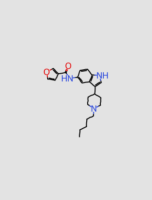 CCCCCN1CCC(c2c[nH]c3ccc(NC(=O)c4ccoc4)cc23)CC1